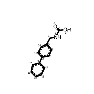 O=C(O)NCc1ccc(-c2ccccc2)cc1